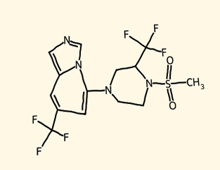 CS(=O)(=O)N1CCN(c2cc(C(F)(F)F)cc3cncn23)CC1C(F)(F)F